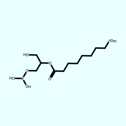 CCCCCCCCCCCCCCCCCC(=O)OC(CO)COB(O)O